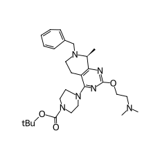 C[C@H]1c2nc(OCCN(C)C)nc(N3CCN(C(=O)OC(C)(C)C)CC3)c2CCN1Cc1ccccc1